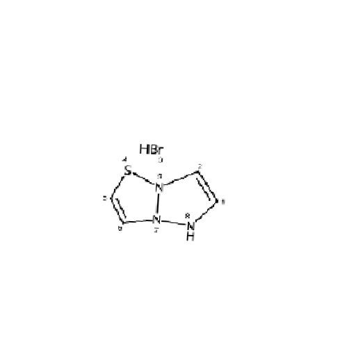 Br.C1=CN2SC=CN2N1